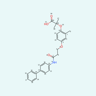 Cc1cc(OCCC(=O)Nc2ccc(-c3ccccc3)cc2)ccc1OC(C)(C)C(=O)O